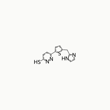 Sc1ccc(-c2ccc(Cc3ncc[nH]3)s2)nn1